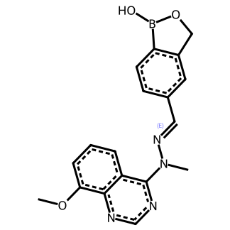 COc1cccc2c(N(C)/N=C/c3ccc4c(c3)COB4O)ncnc12